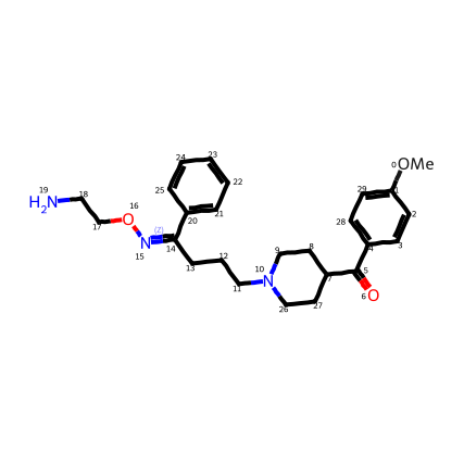 COc1ccc(C(=O)C2CCN(CCC/C(=N/OCCN)c3ccccc3)CC2)cc1